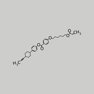 C=CC(=O)OCCCCCCOc1ccc(C(=O)Oc2ccc(C3CCC(C#CC)CC3)cc2)cc1